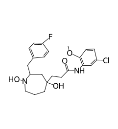 COc1ccc(Cl)cc1NC(=O)CCC1(O)CCCN(O)C(Cc2ccc(F)cc2)C1